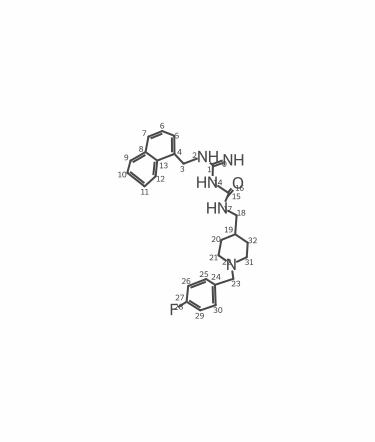 N=C(NCc1cccc2ccccc12)NC(=O)NCC1CCN(Cc2ccc(F)cc2)CC1